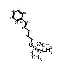 CC[Si](OC)(OC)OCCCC=Cc1ccccc1